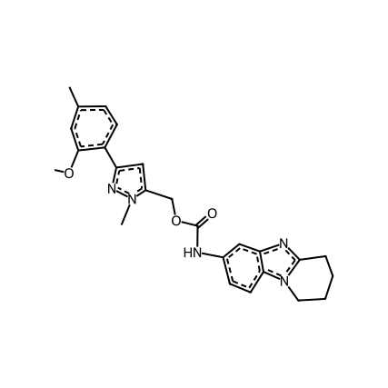 COc1cc(C)ccc1-c1cc(COC(=O)Nc2ccc3c(c2)nc2n3CCCC2)n(C)n1